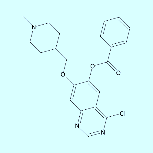 CN1CCC(COc2cc3ncnc(Cl)c3cc2OC(=O)c2ccccc2)CC1